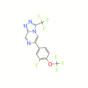 Fc1cc(-c2cn3c(C(F)(F)F)nnc3cn2)ccc1OC(F)(F)F